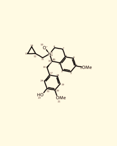 COc1ccc2c(c1)CC[N+]([O-])(CC1CC1)[C@@H]2Cc1ccc(OC)c(O)c1